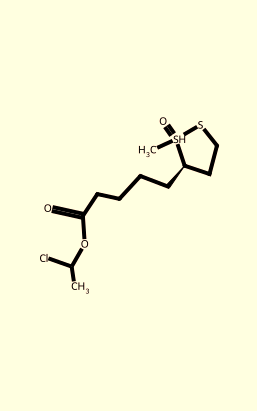 CC(Cl)OC(=O)CCCC[C@@H]1CCS[SH]1(C)=O